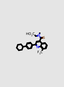 CN(CC(=O)O)C(=S)c1cc(-c2ccc(C3CCCCC3)cc2)nc2c(C(F)(F)F)cccc12